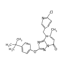 Cc1cc(=O)n2nc(Oc3ccc(C(C)(C)C)cc3)nc2n1Cc1ccc(Cl)nc1